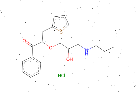 CCCNCC(O)COC(Cc1cccs1)C(=O)c1ccccc1.Cl